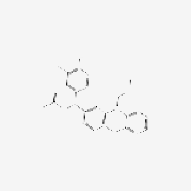 COCN1c2cc(C(OC(C)=O)c3cnc(S)c(C)c3)ccc2Sc2nccnc21